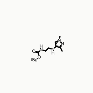 Cc1nn(C)cc1NCCNC(=O)OC(C)(C)C